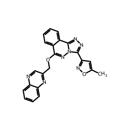 Cc1cc(-c2nnc3c4ccccc4c(OCc4cnc5ccccc5n4)nn23)no1